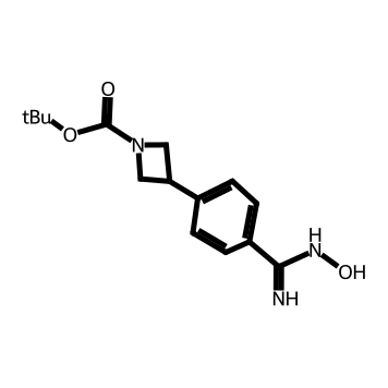 CC(C)(C)OC(=O)N1CC(c2ccc(C(=N)NO)cc2)C1